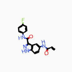 C=CC(=O)Nc1ccc2[nH]nc(C(=O)Nc3ccc(F)cc3)c2c1